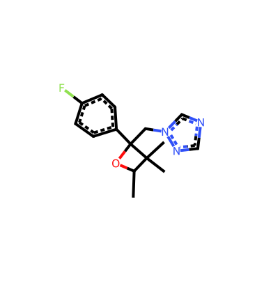 CC1OC(Cn2cncn2)(c2ccc(F)cc2)C1(C)C